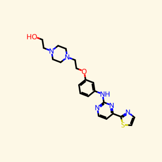 OCCN1CCN(CCOc2cccc(Nc3nccc(-c4nccs4)n3)c2)CC1